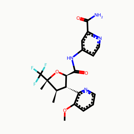 COc1cccnc1[C@@H]1[C@@H](C)[C@](C)(C(F)(F)F)O[C@H]1C(=O)Nc1ccnc(C(N)=O)c1